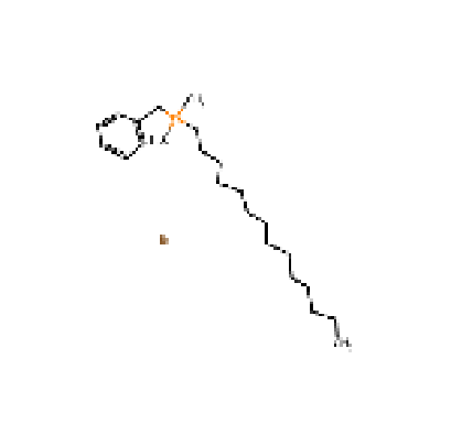 CCCCCCCCCCCCCC[P+](C)(C)Cc1ccccc1.[Br-]